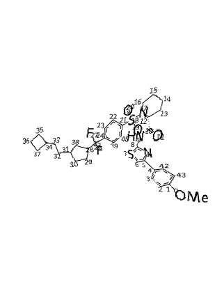 COc1ccc(-c2csc(NC(=O)[C@H]3CCCCN3S(=O)(=O)c3ccc(C(F)(F)C4CCC(CCC5CCC5)C4)cc3)n2)cc1